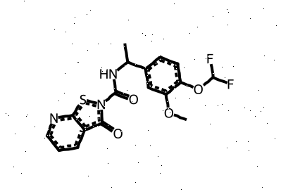 COc1cc(C(C)NC(=O)n2sc3ncccc3c2=O)ccc1OC(F)F